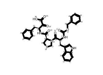 O=C(N[C@@H](Cc1c[nH]c2ccccc12)C(=O)N1CSC[C@H]1C(=O)N[C@@H](Cc1ccccc1)C(=O)C(=O)O)OCc1ccccc1